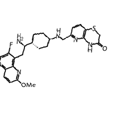 COc1ccc2ncc(F)c(C[C@@H](N)[C@H]3CC[C@H](NCc4ccc5c(n4)NC(=O)CS5)CC3)c2n1